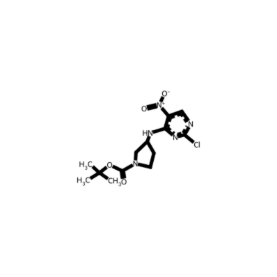 CC(C)(C)OC(=O)N1CCC(Nc2nc(Cl)ncc2[N+](=O)[O-])C1